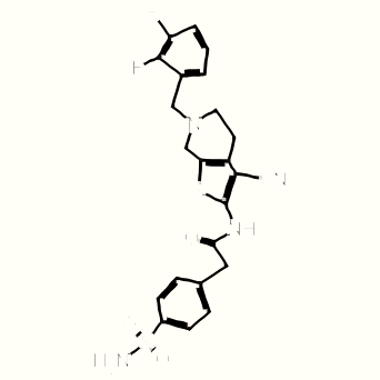 N#Cc1c(NC(=O)Cc2ccc(S(N)(=O)=O)cc2)sc2c1CCN(Cc1cccc(F)c1F)C2